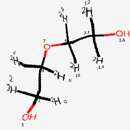 [2H]C([2H])(O)C([2H])([2H])OC([2H])([2H])C([2H])([2H])O